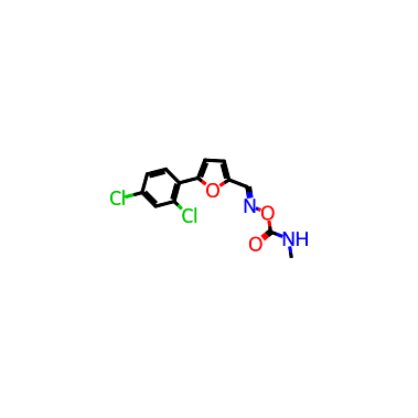 CNC(=O)ON=Cc1ccc(-c2ccc(Cl)cc2Cl)o1